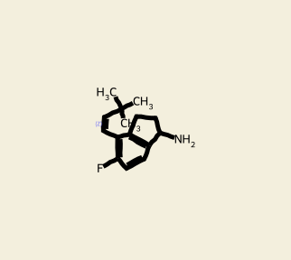 CC(C)(C)/C=C\c1c(F)ccc2c1CCC2N